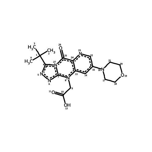 CC(C)(C)c1nnc2n(CC(=O)O)c3cc(N4CCOCC4)cnc3c(=O)n12